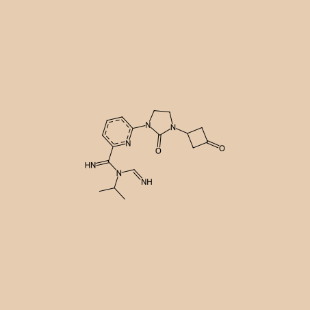 CC(C)N(C=N)C(=N)c1cccc(N2CCN(C3CC(=O)C3)C2=O)n1